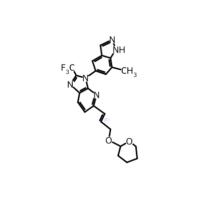 Cc1cc(-n2c(C(F)(F)F)nc3ccc(/C=C/COC4CCCCO4)nc32)cc2cn[nH]c12